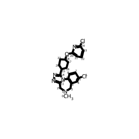 CN1Cc2cc(Cl)ccc2-n2c(nnc2C2CCC(Oc3cccc(Cl)n3)CC2)C1